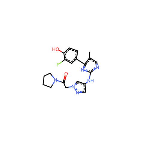 Cc1cnc(Nc2cnn(CC(=O)N3CCCC3)c2)nc1-c1ccc(O)c(F)c1